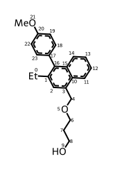 CCc1cc(COCCCO)c2ccccc2c1-c1ccc(OC)cc1